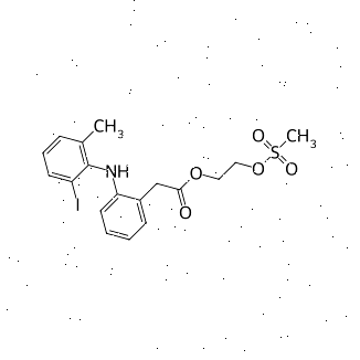 Cc1cccc(I)c1Nc1ccccc1CC(=O)OCCOS(C)(=O)=O